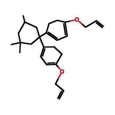 C=CCOC1=CC=C(C2(C3=CC=C(OCC=C)CC3)CC(C)CC(C)(C)C2)CC1